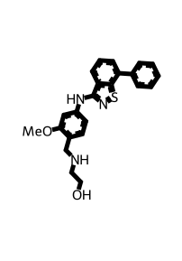 COc1cc(Nc2nsc3c(-c4ccccc4)cccc23)ccc1CNCCO